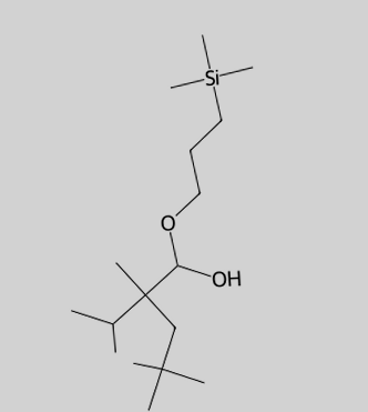 CC(C)C(C)(CC(C)(C)C)C(O)OCCC[Si](C)(C)C